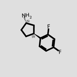 N[C@H]1CC[C@H](c2ccc(F)cc2F)C1